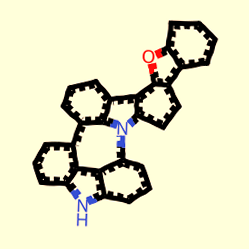 c1ccc2c(c1)oc1c2ccc2c1c1cccc3c4cccc5[nH]c6cccc(c6c54)n2c31